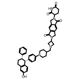 O=C1CCC(N2Cc3cc4c(cc3C2=O)CN(C2CN(CC3CCN(c5ccc([C@@H]6c7ccc(O)cc7CC[C@@H]6c6ccccc6)cc5)CC3)C2)C4=O)C(=O)N1